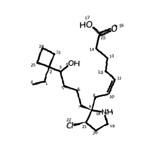 CCC1(C(O)CCC[C@@]2(C/C=C\CCCC(=O)O)NCC[C@H]2Cl)CCC1